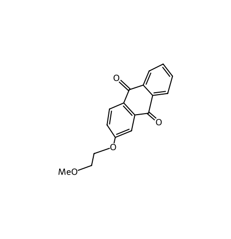 COCCOc1ccc2c(c1)C(=O)c1ccccc1C2=O